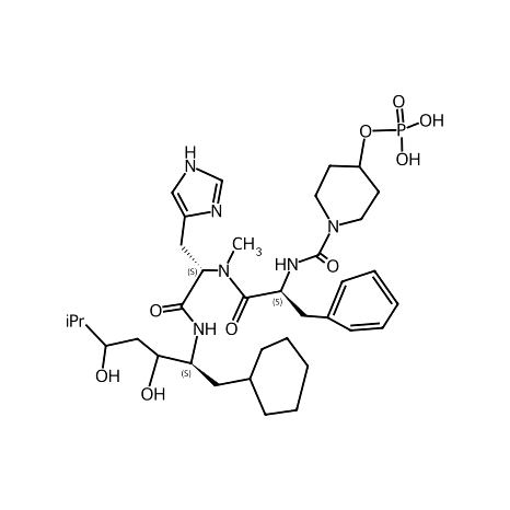 CC(C)C(O)CC(O)[C@H](CC1CCCCC1)NC(=O)[C@H](Cc1c[nH]cn1)N(C)C(=O)[C@H](Cc1ccccc1)NC(=O)N1CCC(OP(=O)(O)O)CC1